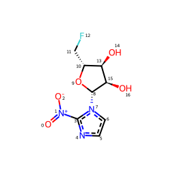 O=[N+]([O-])c1nccn1[C@@H]1O[C@H](CF)[C@@H](O)[C@H]1O